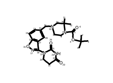 CC(C)(C)OC(=O)N1CCN(Cc2ccc3onc(N4CCC(=O)NC4=O)c3c2)CC1(C)C